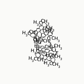 Cc1cc(F)cc(-c2cc(C(C)(C)CC(C)(C)C)cc(-c3c4cc5c(cc4cc4cc6c(cc34)C(C)(C)CCC6(C)C)C(C)(C)CCC5(C)C)c2O)c1OCCCOc1c(C)cc(F)cc1-c1cc(C(C)(C)CC(C)(C)C)cc(-c2c3cc4c(cc3cc3cc5c(cc23)C(C)(C)CCC5(C)C)C(C)(C)CCC4(C)C)c1O